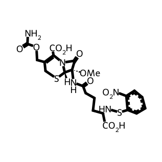 CO[C@@]1(NC(=O)CCCC(NSc2ccccc2[N+](=O)[O-])C(=O)O)C(=O)N2C(C(=O)O)=C(COC(N)=O)CS[C@H]21